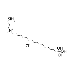 C[N+](C)(CCC[SiH3])CCCCCCCCCCCCCCCCCC(O)(O)O.[Cl-]